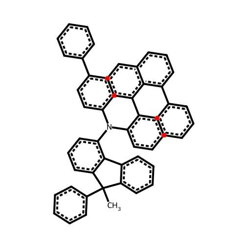 CC1(c2ccccc2)c2ccccc2-c2c(N(c3ccc(-c4ccccc4)cc3)c3ccccc3-c3cccc4cccc(-c5ccccc5)c34)cccc21